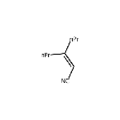 CCCC(=CC#N)CCC